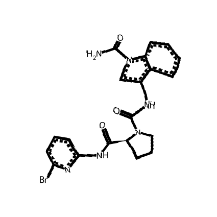 NC(=O)n1cc(NC(=O)N2CCC[C@H]2C(=O)Nc2cccc(Br)n2)c2ccccc21